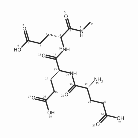 CNC(=O)[C@@H](CCC(=O)O)NC(=O)[C@@H](CCC(=O)O)NC(=O)[C@H](N)CCC(=O)O